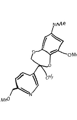 CNc1cc(OC)c2c(c1)OCC(C)(c1ccc(OC)nc1)O2